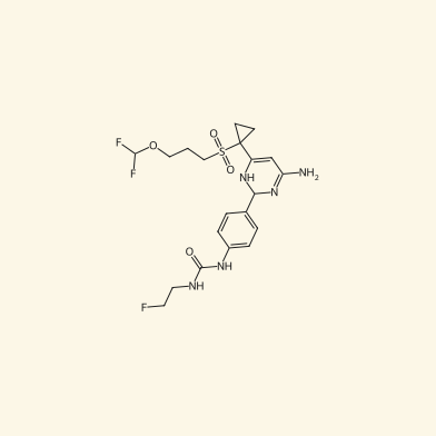 NC1=NC(c2ccc(NC(=O)NCCF)cc2)NC(C2(S(=O)(=O)CCCOC(F)F)CC2)=C1